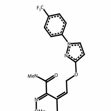 CNC(=O)C(=N/OC)/C(C)=C\COc1ccn(-c2ccc(C(F)(F)F)cc2)n1